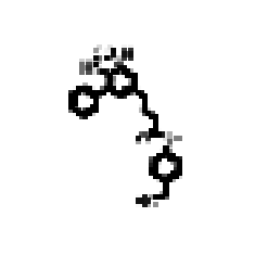 O=C(O)Nc1ccc(CCCC(=O)Nc2ccc(CO)cc2)cc1-c1ccccc1